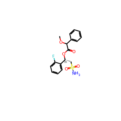 COC(C(=O)O[C@H](CS(N)(=O)=O)c1ccccc1F)c1ccccc1